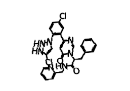 O=C(NCc1ccccn1)[C@H](Cc1ccccc1)n1cnc(-c2cc(Cl)ccc2N2C=C(Cl)NN2)cc1=O